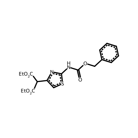 CCOC(=O)C(C(=O)OCC)c1csc(NC(=O)OCc2ccccc2)n1